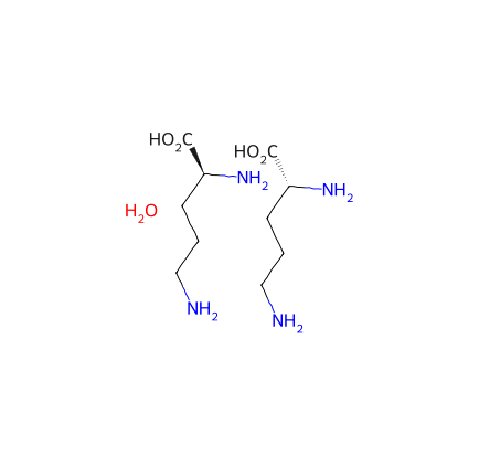 NCCC[C@@H](N)C(=O)O.NCCC[C@H](N)C(=O)O.O